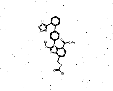 CCOc1nc2c(COC(=O)CC)ccc(C(=O)OC)c2n1-c1ccc(-c2ccccc2-c2nnn[nH]2)cc1